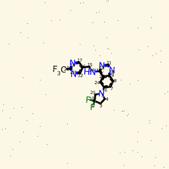 FC1(F)CCN(c2ccc3ncnc(NCc4cnc(C(F)(F)F)nc4)c3c2)C1